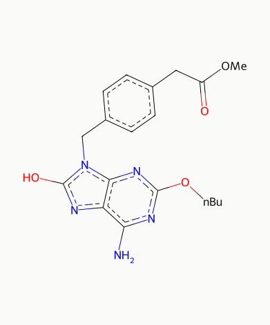 CCCCOc1nc(N)c2nc(O)n(Cc3ccc(CC(=O)OC)cc3)c2n1